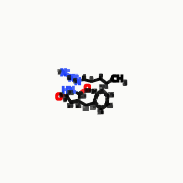 CCCCCN=[N+]=[N-].O=C1C=C(Cc2ccccc2)C(=O)N1